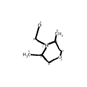 CC1COCC(C)N1C[O]